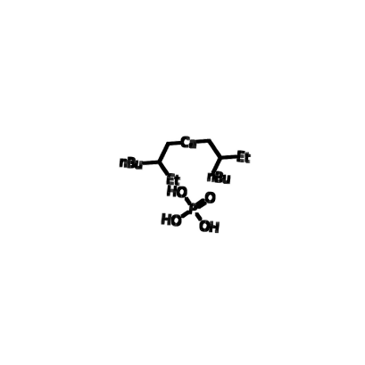 CCCCC(CC)[CH2][Ca][CH2]C(CC)CCCC.O=P(O)(O)O